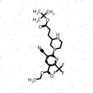 CCOC(=O)c1cc(C#N)c(N2CCNC(CCC(=O)OC(C)(C)C)C2)nc1C(F)(F)F